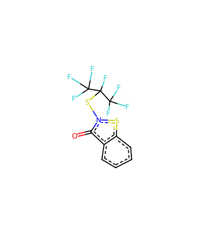 O=c1c2ccccc2sn1SC(F)(C(F)(F)F)C(F)(F)F